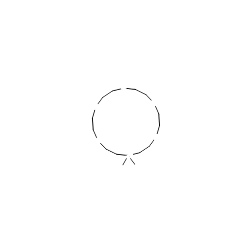 C[N+]1(C)CCOCCOCCOCCOCCOCC1